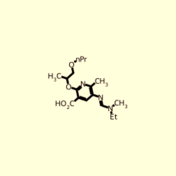 CCCOCC(C)Oc1nc(C)c(N=CN(C)CC)cc1C(=O)O